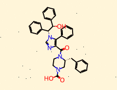 O=C(O)N1CCN(C(=O)c2ncn([C@H](c3ccccc3)[C@H](O)c3ccccc3)c2-c2ccccc2)[C@H](Cc2ccccc2)C1